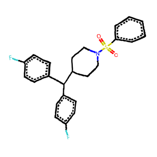 O=S(=O)(c1ccccc1)N1CCC(C(c2ccc(F)cc2)c2ccc(F)cc2)CC1